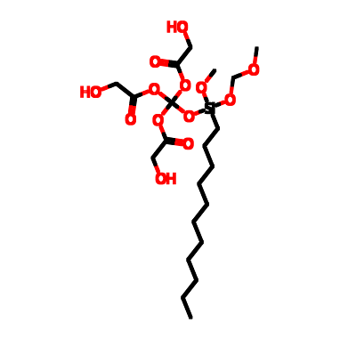 CCCCCCCCCCC[Si](OC)(OCOC)OC(OC(=O)CO)(OC(=O)CO)OC(=O)CO